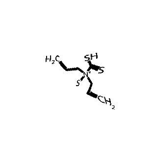 C=CC[N+]([S-])(CC=C)C(=S)S